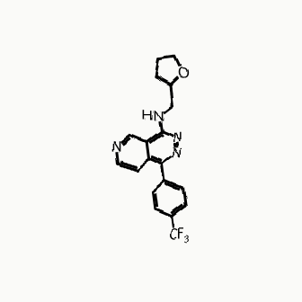 FC(F)(F)c1ccc(-c2nnc(NCC3CCCO3)c3cnccc23)cc1